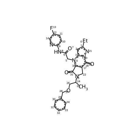 CCc1cc2n(CC(=O)Nc3ccc(F)cn3)c3c(c(=O)n2n1)CN(C(C)COCc1ccccc1)C3=O